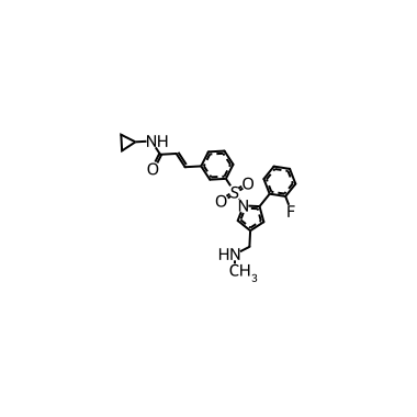 CNCc1cc(-c2ccccc2F)n(S(=O)(=O)c2cccc(/C=C/C(=O)NC3CC3)c2)c1